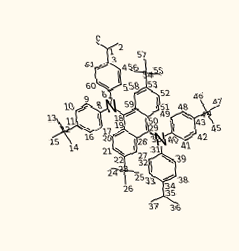 CC(C)c1ccc(N(c2ccc(C(C)(C)C)cc2)c2c3ccc(C(C)(C)C)cc3c(N(c3ccc(C(C)C)cc3)c3ccc(C(C)(C)C)cc3)c3ccc(C(C)(C)C)cc23)cc1